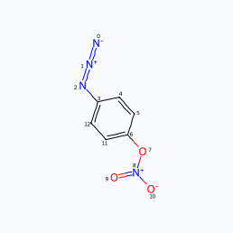 [N-]=[N+]=Nc1ccc(O[N+](=O)[O-])cc1